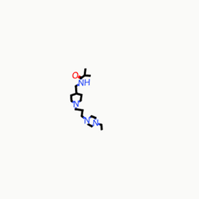 CCN1CCN(CCCN2CCC(CNC(=O)C(C)C)CC2)CC1